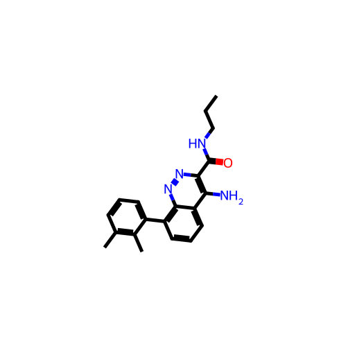 CCCNC(=O)c1nnc2c(-c3cccc(C)c3C)cccc2c1N